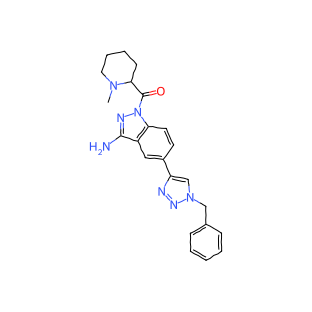 CN1CCCCC1C(=O)n1nc(N)c2cc(-c3cn(Cc4ccccc4)nn3)ccc21